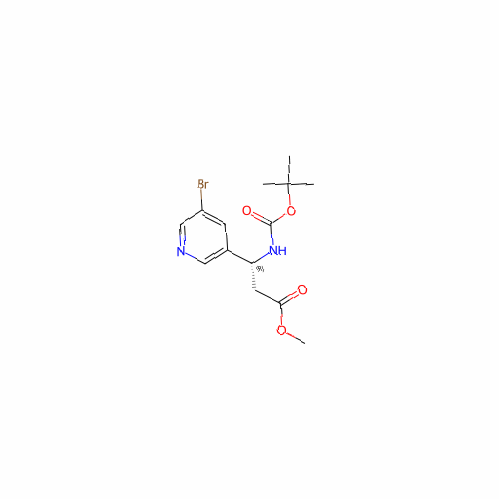 COC(=O)C[C@@H](NC(=O)OC(C)(C)C)c1cncc(Br)c1